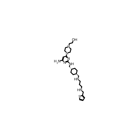 Nc1cc(N2CCN(CCO)CC2)nc(NC[C@H]2CC[C@H](CNCCCNCc3cccs3)CC2)n1